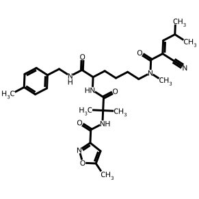 Cc1ccc(CNC(=O)C(CCCCN(C)C(=O)C(C#N)=CC(C)C)NC(=O)C(C)(C)NC(=O)c2cc(C)on2)cc1